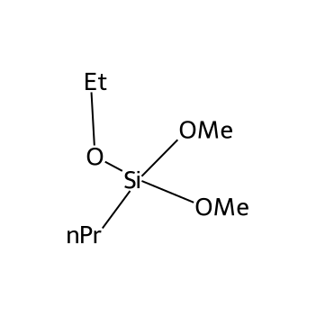 [CH2]CC[Si](OC)(OC)OCC